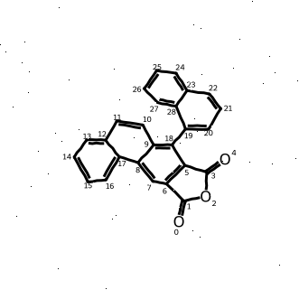 O=C1OC(=O)c2c1cc1c(ccc3ccccc31)c2-c1cccc2ccccc12